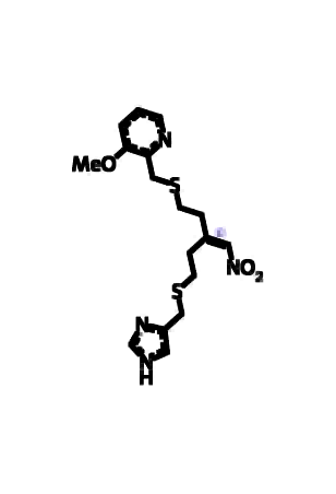 COc1cccnc1CSCC/C(=C/[N+](=O)[O-])CCSCc1c[nH]cn1